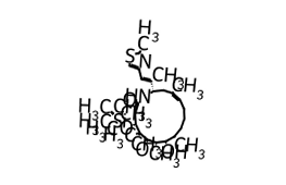 C/C1=C/CCC[C@H](C)[C@@H](O)[C@H](C)C(=O)C(C)(C)[C@@H](O[Si](C)(C)C(C)(C)C)CC(=O)N[C@H](/C(C)=C/c2csc(C)n2)C1